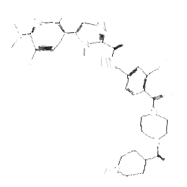 CN(C)c1nc(F)c(-c2cnc(C(=O)Nc3ccc(C(=O)N4CCN(C(=O)C5CCNCC5)CC4)c(Cl)c3)n2C)cc1F